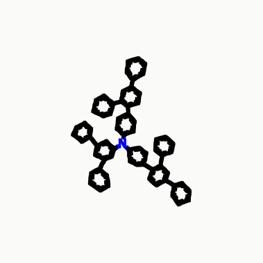 c1ccc(-c2cc(-c3ccccc3)cc(N(c3ccc(-c4ccc(-c5ccccc5)cc4-c4ccccc4)cc3)c3ccc(-c4ccc(-c5ccccc5)cc4-c4ccccc4)cc3)c2)cc1